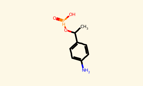 CC(O[PH](=O)O)c1ccc(N)cc1